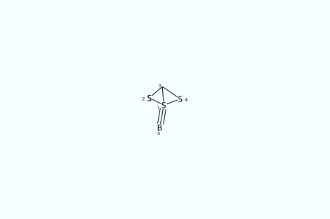 B#S12SC1S2